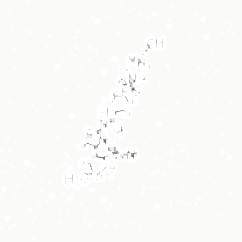 C#CN1CCN(S(=O)(=O)c2ccc(C(=O)Nc3nc(-c4cc(C)ccc4N=[N+]=[N-])cs3)cc2)CC1